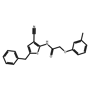 Cc1cccc(OCC(=O)Nc2sc(Cc3ccccc3)cc2C#N)c1